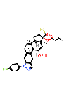 CC(C)CC(=O)O[C@]1(C(=O)S)CC[C@H]2[C@@H]3CCC4=Cc5c(cnn5-c5ccc(F)cc5)C[C@]4(C)[C@H]3[C@@H](O)C[C@@]21C